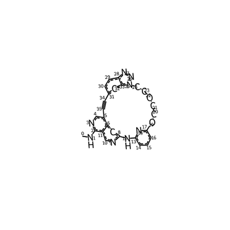 CNc1ncc2c3cc(ncc13)Nc1cccc(n1)OCCOCCn1nnc3ccc(cc31)C#C2